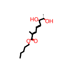 CCCCCOC(=O)/C(C)=C/C=C/[C@H](O)[C@H](C)O